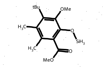 COC(=O)c1c(C)c(C)c(C(C)(C)C)c(OC)c1O[SiH3]